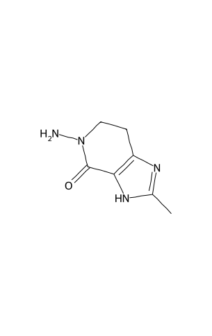 Cc1nc2c([nH]1)C(=O)N(N)CC2